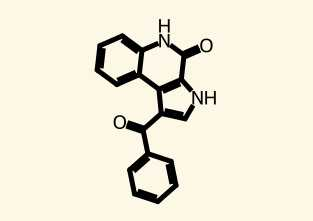 O=C(c1ccccc1)c1c[nH]c2c(=O)[nH]c3ccccc3c12